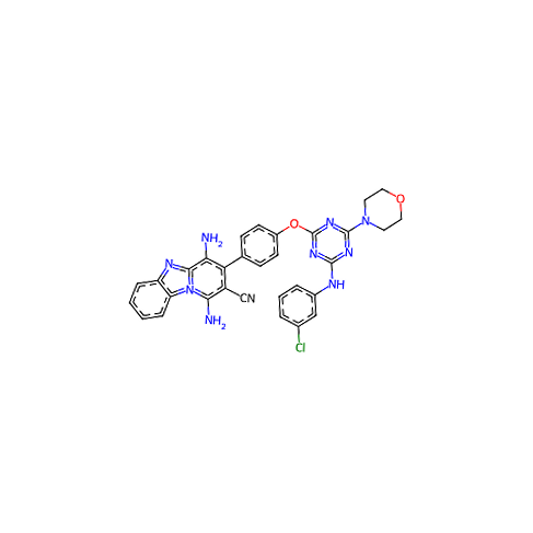 N#Cc1c(-c2ccc(Oc3nc(Nc4cccc(Cl)c4)nc(N4CCOCC4)n3)cc2)c(N)c2nc3ccccc3n2c1N